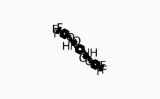 O=C(COc1ccc(C(F)(F)F)cc1)N[C@H]1CC[C@H](NC(=O)COc2ccc(C(F)(F)F)cc2)CC1